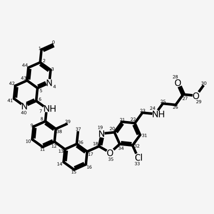 C=Cc1cnc2c(Nc3cccc(-c4cccc(-c5nc6cc(CNCCC(=O)OC)cc(Cl)c6o5)c4C)c3C)nccc2c1